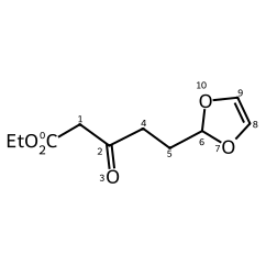 CCOC(=O)CC(=O)CCC1OC=CO1